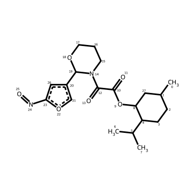 CC1CCC(C(C)C)C(OC(=O)C(=O)N2CCCOC2c2coc(N=O)c2)C1